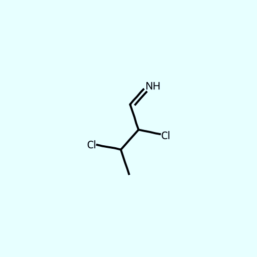 CC(Cl)C(Cl)C=N